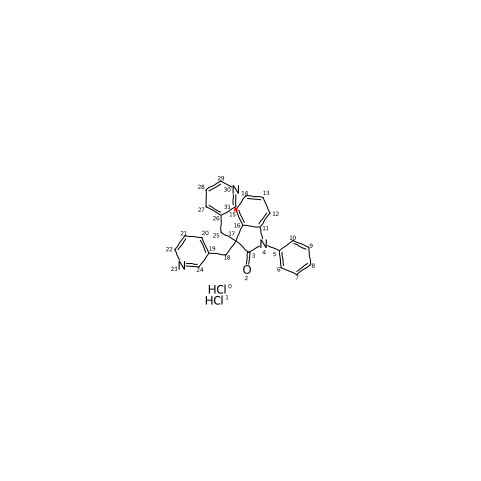 Cl.Cl.O=C1N(c2ccccc2)c2ccccc2C1(Cc1cccnc1)Cc1cccnc1